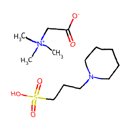 C[N+](C)(C)CC(=O)[O-].O=S(=O)(O)CCCN1CCCCC1